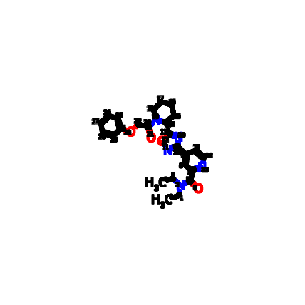 CCN(CC)C(=O)c1cc(-c2noc([C@H]3CCCCN3C(=O)COc3ccccc3)n2)ccn1